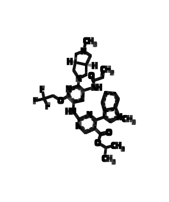 C=CC(=O)Nc1cc(Nc2ncc(C(=O)OC(C)C)c(-c3cn(C)c4ccccc34)n2)c(OCC(F)(F)F)nc1N1C[C@H]2CN(C)C[C@H]2C1